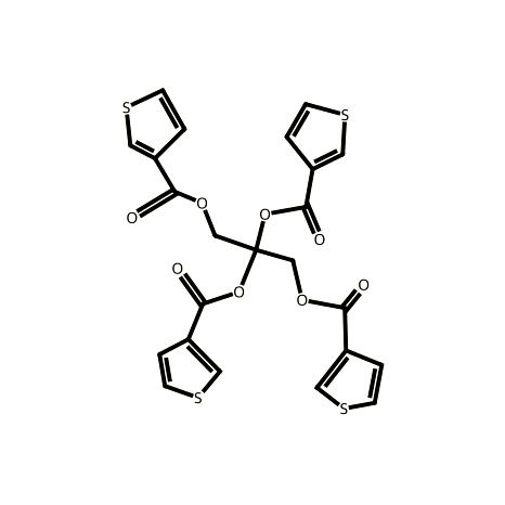 O=C(OCC(COC(=O)c1ccsc1)(OC(=O)c1ccsc1)OC(=O)c1ccsc1)c1ccsc1